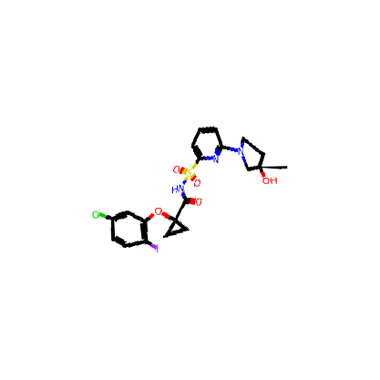 C[C@]1(O)CCN(c2cccc(S(=O)(=O)NC(=O)C3(Oc4cc(Cl)ccc4I)CC3)n2)C1